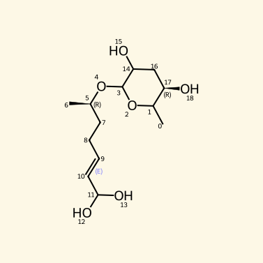 CC1OC(O[C@H](C)CC/C=C/C(O)O)C(O)C[C@H]1O